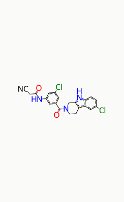 N#CCC(=O)Nc1cc(Cl)cc(C(=O)N2CCc3c([nH]c4ccc(Cl)cc34)C2)c1